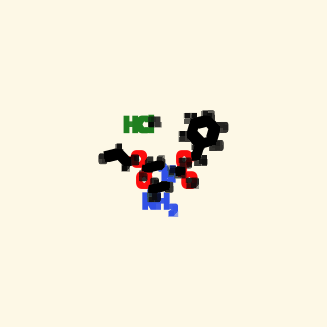 C=CCOC(=O)CN(CCN)C(=O)OCc1ccccc1.Cl